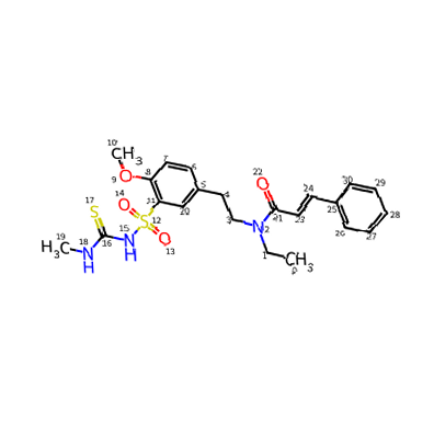 CCN(CCc1ccc(OC)c(S(=O)(=O)NC(=S)NC)c1)C(=O)/C=C/c1ccccc1